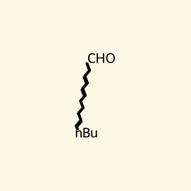 CCCC/C=C/CCC/C=C/C=C/CCC=O